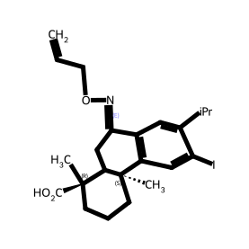 C=CCO/N=C1\CC2[C@](C)(C(=O)O)CCC[C@]2(C)c2cc(I)c(C(C)C)cc21